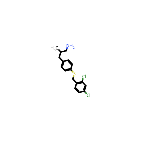 CC(CN)Cc1ccc(SCc2ccc(Cl)cc2Cl)cc1